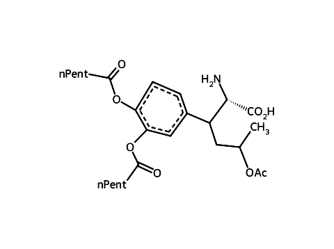 CCCCCC(=O)Oc1ccc(C(CC(C)OC(C)=O)[C@H](N)C(=O)O)cc1OC(=O)CCCCC